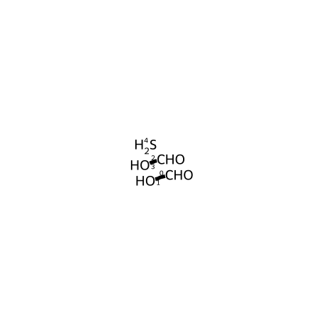 O=CO.O=CO.S